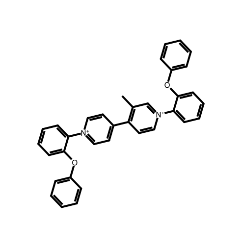 Cc1c[n+](-c2ccccc2Oc2ccccc2)ccc1-c1cc[n+](-c2ccccc2Oc2ccccc2)cc1